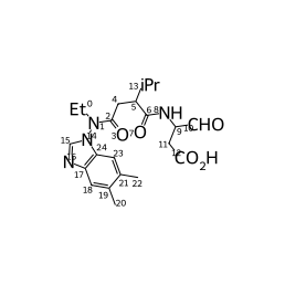 CCN(C(=O)CC(C(=O)NC(C=O)CC(=O)O)C(C)C)n1cnc2cc(C)c(C)cc21